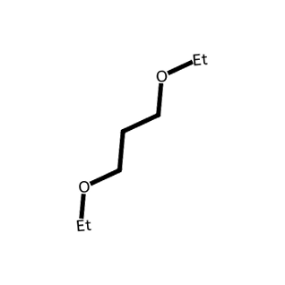 [CH2]COCCCOCC